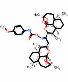 C[C@H]1[C@@H](/C(C[C@H]2O[C@@H]3O[C@]4(C)CC[C@H]5[C@H](C)CC[C@@H]([C@H]2C)[C@@]35OO4)=N\OC(=O)Nc2ccc(OC(F)(F)F)cc2)O[C@@H]2O[C@]3(C)CC[C@H]4[C@H](C)CC[C@@H]1[C@@]24OO3